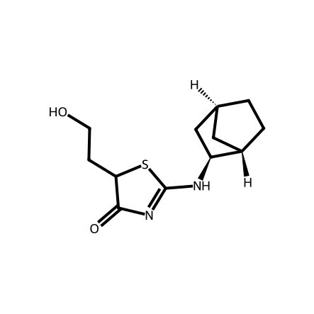 O=C1N=C(N[C@H]2C[C@H]3CC[C@H]2C3)SC1CCO